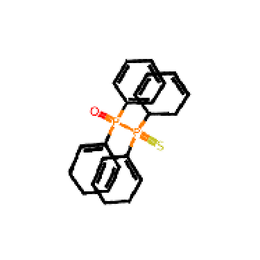 O=P(C1=CCCC=C1)(c1ccccc1)P(=S)(C1=CCCC=C1)C1C=CC=CC1